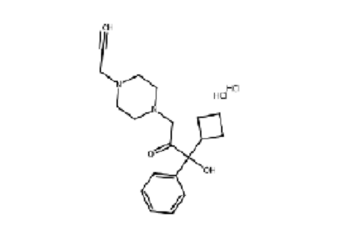 C#CCN1CCN(CC(=O)C(O)(c2ccccc2)C2CCC2)CC1.Cl.Cl